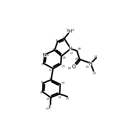 [2H]c1cc2ncc(-c3ccc(F)c(C)c3)cc2n1CC(=O)N(C)C